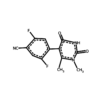 Cc1c(-c2cc(F)c(C#N)cc2F)c(=O)[nH]c(=O)n1C